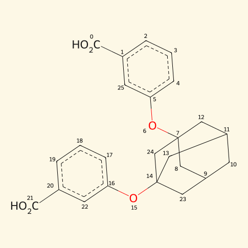 O=C(O)c1cccc(OC23CC4CC(C2)CC(Oc2cccc(C(=O)O)c2)(C4)C3)c1